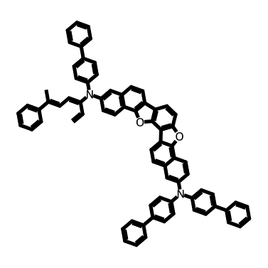 C=C/C(=C\C=C(/C)c1ccccc1)N(c1ccc(-c2ccccc2)cc1)c1ccc2c(ccc3c4ccc5oc6c7ccc(N(c8ccc(-c9ccccc9)cc8)c8ccc(-c9ccccc9)cc8)cc7ccc6c5c4oc23)c1